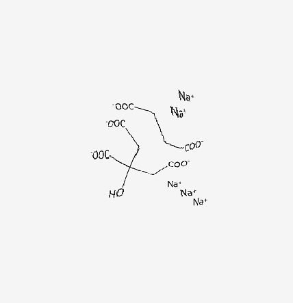 O=C([O-])CC(O)(CC(=O)[O-])C(=O)[O-].O=C([O-])CCC(=O)[O-].[Na+].[Na+].[Na+].[Na+].[Na+]